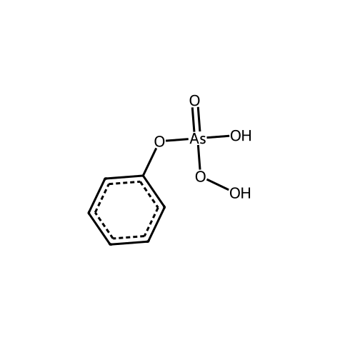 O=[As](O)(OO)Oc1ccccc1